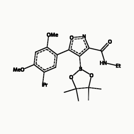 CCNC(=O)c1noc(-c2cc(C(C)C)c(OC)cc2OC)c1B1OC(C)(C)C(C)(C)O1